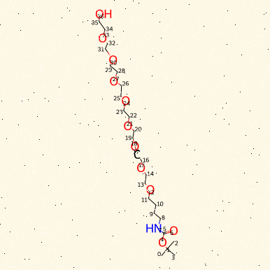 CC(C)(C)OC(=O)NCCCCOCCOCCOCCOCCOCCOCCOCCOCCO